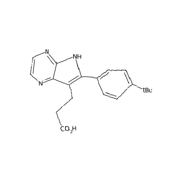 CC(C)(C)c1ccc(-c2[nH]c3nccnc3c2CCC(=O)O)cc1